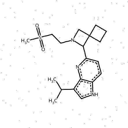 CC(C)c1c[nH]c2ccc(C3N(CCS(C)(=O)=O)CC34CCC4)nc12